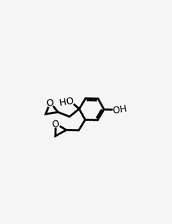 OC1=CC(CC2CO2)C(O)(CC2CO2)C=C1